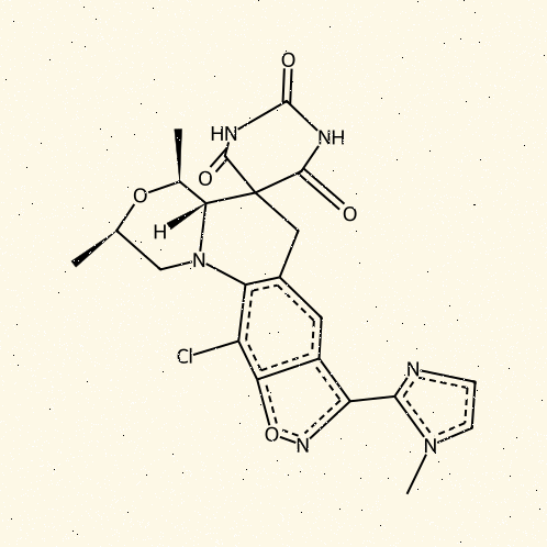 C[C@@H]1CN2c3c(cc4c(-c5nccn5C)noc4c3Cl)CC3(C(=O)NC(=O)NC3=O)[C@H]2[C@H](C)O1